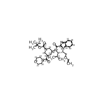 C=COCCn1c(C(=O)N(CC(C)C)[C@H]2C[C@@H](C(=O)N3CCOCC3)CN(C(=O)OC(C)(C)C)C2)nc2ccccc21